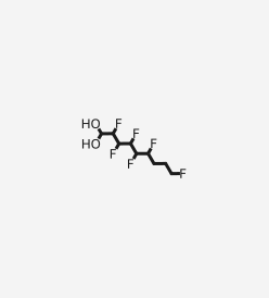 OC(O)C(F)C(F)C(F)C(F)C(F)CCCF